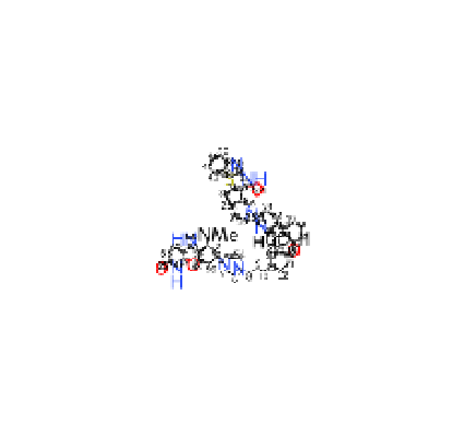 CNc1cc(N2CCN(CCCC3CCC(Oc4cccc(-c5ccc(N6CCc7cccc(C(=O)Nc8nc9ccccc9s8)c7C6)nc5C(=O)O)c4C)CC3)CC2)ccc1C(=N)C1CCC(=O)NC1=O